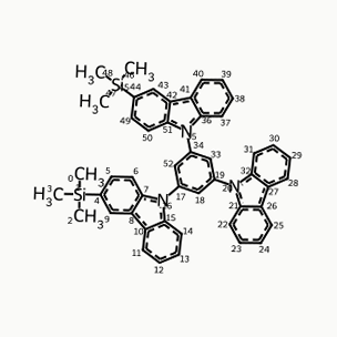 C[Si](C)(C)c1ccc2c(c1)c1ccccc1n2-c1cc(-n2c3ccccc3c3ccccc32)cc(-n2c3ccccc3c3cc([Si](C)(C)C)ccc32)c1